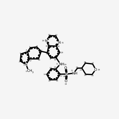 Cn1ccc2ccc(-c3cc(Nc4ccccc4S(=O)(=O)NCC4CCOCC4)cc4nccnc34)cc21